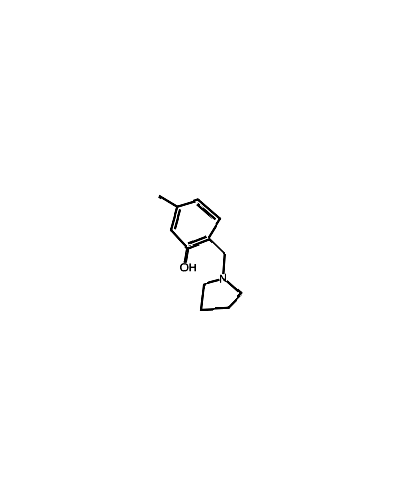 Cc1ccc(CN2CCCC2)c(O)c1